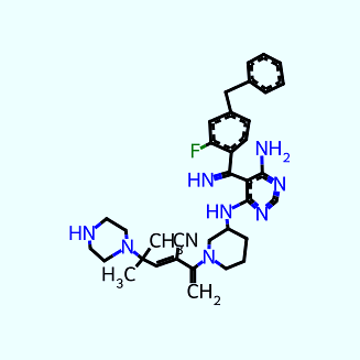 C=C(/C(C#N)=C/C(C)(C)N1CCNCC1)N1CCCC(Nc2ncnc(N)c2C(=N)c2ccc(Cc3ccccc3)cc2F)C1